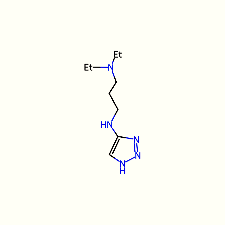 CCN(CC)CCCNc1c[nH]nn1